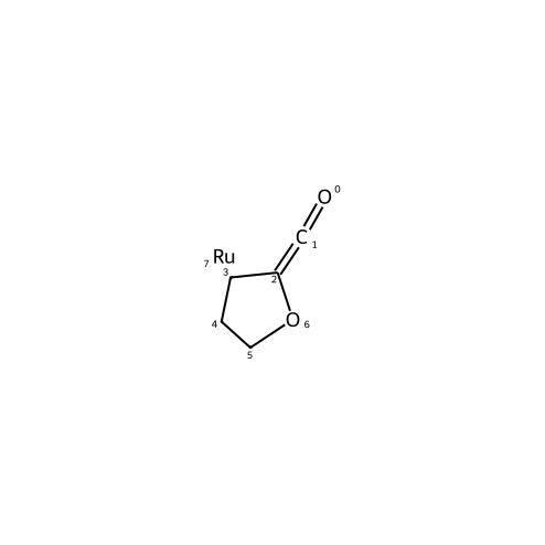 O=C=C1CCCO1.[Ru]